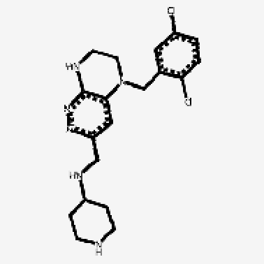 Clc1ccc(Cl)c(CN2CCNc3nnc(CNC4CCNCC4)cc32)c1